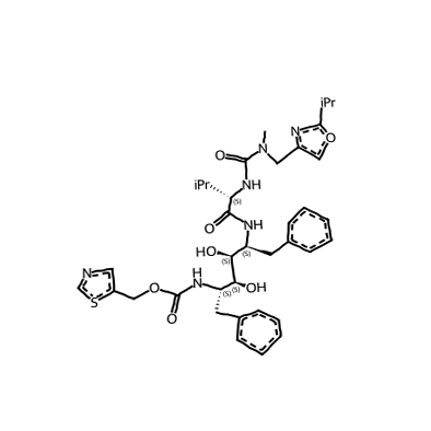 CC(C)c1nc(CN(C)C(=O)N[C@H](C(=O)N[C@@H](Cc2ccccc2)[C@H](O)[C@@H](O)[C@H](Cc2ccccc2)NC(=O)OCc2cncs2)C(C)C)co1